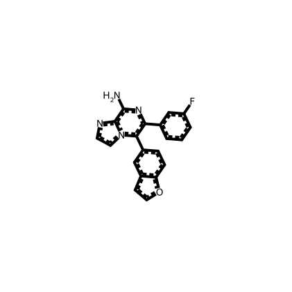 Nc1nc(-c2cccc(F)c2)c(-c2ccc3occc3c2)n2ccnc12